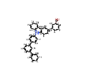 Brc1cccc(-c2ccc3c(c2)c2ccccc2n3-c2ccc(-c3cccc(-c4ccccc4)c3)cc2)c1